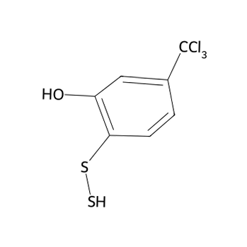 Oc1cc(C(Cl)(Cl)Cl)ccc1SS